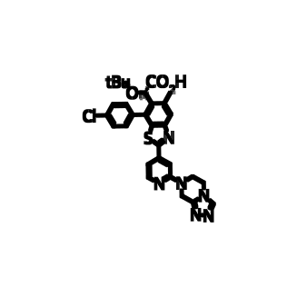 Cc1cc2nc(-c3ccnc(N4CCn5cnnc5C4)c3)sc2c(-c2ccc(Cl)cc2)c1[C@H](OC(C)(C)C)C(=O)O